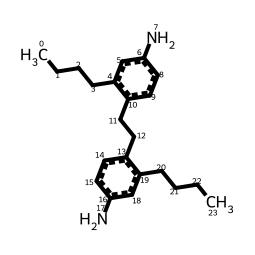 CCCCc1cc(N)ccc1CCc1ccc(N)cc1CCCC